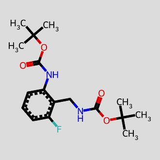 CC(C)(C)OC(=O)NCc1c(F)cccc1NC(=O)OC(C)(C)C